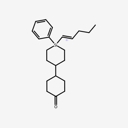 CCC/C=C/[Si]1(c2ccccc2)CCC(C2CCC(=O)CC2)CC1